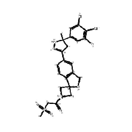 CC1(c2cc(Cl)c(Cl)c(Cl)c2)CC(c2ccc3c(c2)COC32CN(C(=O)CS(C)(=O)=O)C2)=NN1